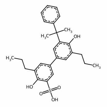 CCCc1cc(-c2cc(CCC)c(O)c(S(=O)(=O)O)c2)cc(C(C)(C)c2ccccc2)c1O